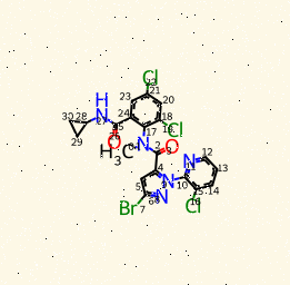 CN(C(=O)c1cc(Br)nn1-c1ncccc1Cl)c1c(Cl)cc(Cl)cc1C(=O)NC1CC1